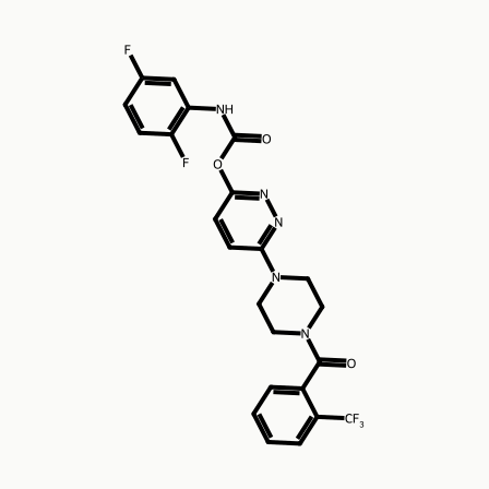 O=C(Nc1cc(F)ccc1F)Oc1ccc(N2CCN(C(=O)c3ccccc3C(F)(F)F)CC2)nn1